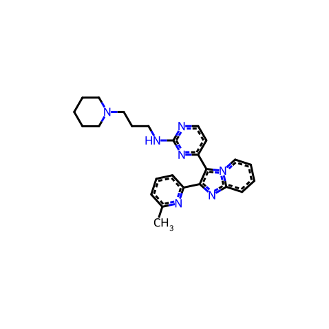 Cc1cccc(-c2nc3ccccn3c2-c2ccnc(NCCCN3CCCCC3)n2)n1